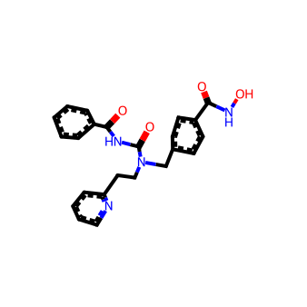 O=C(NO)c1ccc(CN(CCc2ccccn2)C(=O)NC(=O)c2ccccc2)cc1